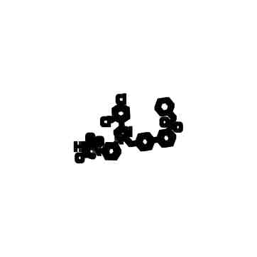 O=C1CN(c2cccc(-n3cc(-c4ccc(Cl)cc4Cl)nc3Cc3ccc(-c4cccc(S(=O)(=O)CC5CCCCC5)c4)cc3)c2)S(=O)(=O)N1